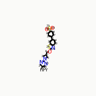 CCCc1cnc(N2CC(COc3nc4ccc(-c5ccc(S(C)(=O)=O)cc5)cc4s3)C2)nc1